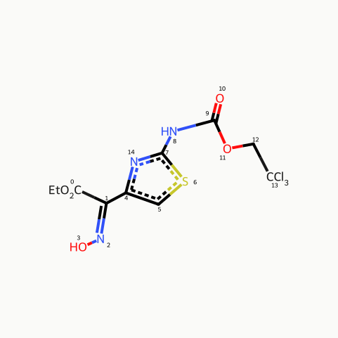 CCOC(=O)C(=NO)c1csc(NC(=O)OCC(Cl)(Cl)Cl)n1